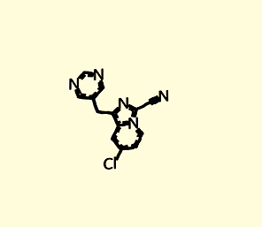 N#Cc1nc(Cc2cncnc2)c2cc(Cl)ccn12